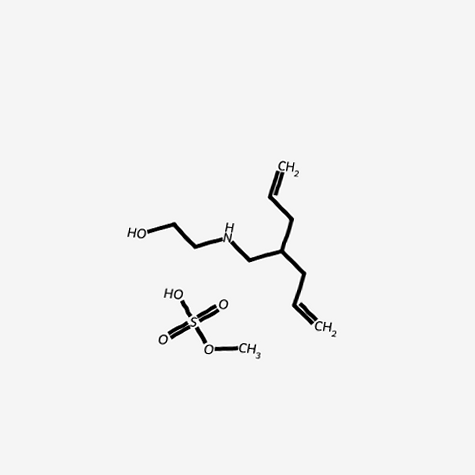 C=CCC(CC=C)CNCCO.COS(=O)(=O)O